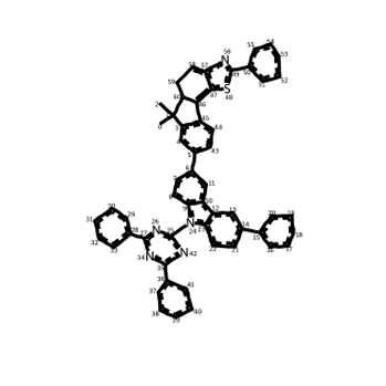 CC1(C)c2cc(-c3ccc4c(c3)c3cc(-c5ccccc5)ccc3n4-c3nc(-c4ccccc4)nc(-c4ccccc4)n3)ccc2C2=c3sc(-c4ccccc4)nc3=CCC21